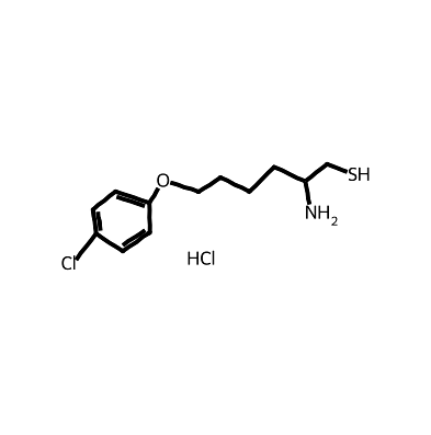 Cl.NC(CS)CCCCOc1ccc(Cl)cc1